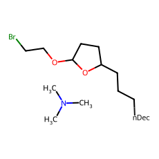 CCCCCCCCCCCCCC1CCC(OCCBr)O1.CN(C)C